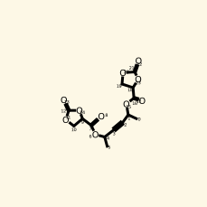 CC(C#CC(C)OC(=O)C1COC(=O)O1)OC(=O)C1COC(=O)O1